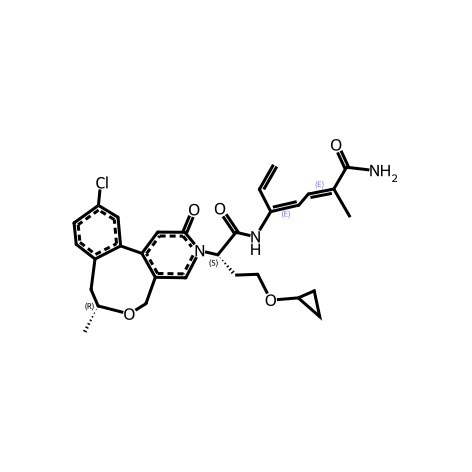 C=C/C(=C\C=C(/C)C(N)=O)NC(=O)[C@H](CCOC1CC1)n1cc2c(cc1=O)-c1cc(Cl)ccc1C[C@@H](C)OC2